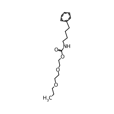 CCCOCCOCCOC(=O)NCCCCc1ccccc1